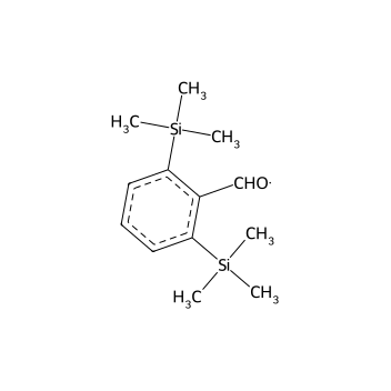 C[Si](C)(C)c1cccc([Si](C)(C)C)c1[C]=O